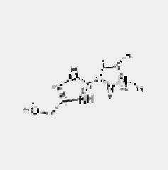 Cc1cc(C2NC(CO)=CO2)nn1C